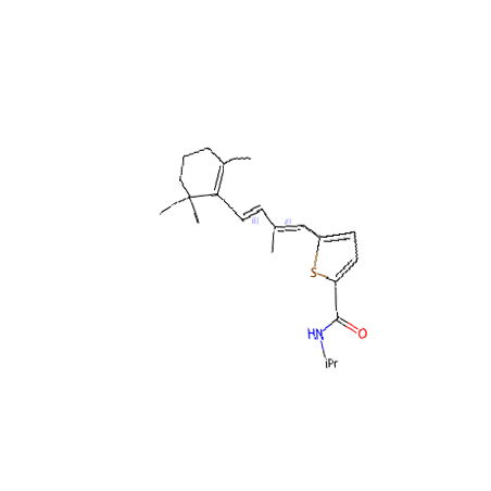 CC1=C(/C=C/C(C)=C/c2ccc(C(=O)NC(C)C)s2)C(C)(C)CCC1